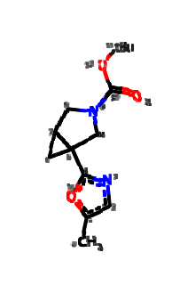 Cc1cnc(C23CC2CN(C(=O)OC(C)(C)C)C3)o1